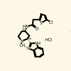 CN1CC[C@@H](NC(=O)Cc2ccc(Cl)s2)C[C@@H]1c1nc2ccccc2[nH]1.Cl